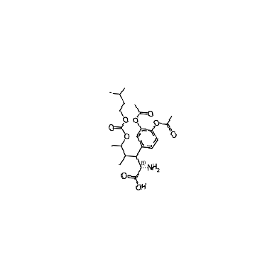 CC(=O)Oc1ccc(C(C(C)C(C)OC(=O)OCCC(C)C)[C@H](N)C(=O)O)cc1OC(C)=O